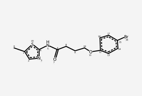 Cc1cnc(NC(=O)CCCOc2ccc(Br)cc2)s1